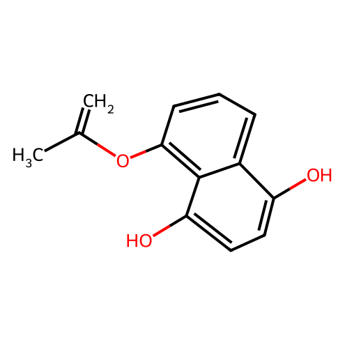 C=C(C)Oc1cccc2c(O)ccc(O)c12